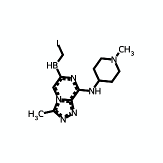 Cc1nnc2c(NC3CCN(C)CC3)nc(BCI)cn12